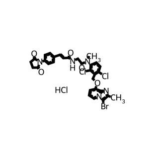 Cc1nc2c(OCc3c(Cl)ccc(N(C)C(=O)CNC(=O)C=Cc4ccc(N5C(=O)CCC5=O)cc4)c3Cl)cccn2c1Br.Cl